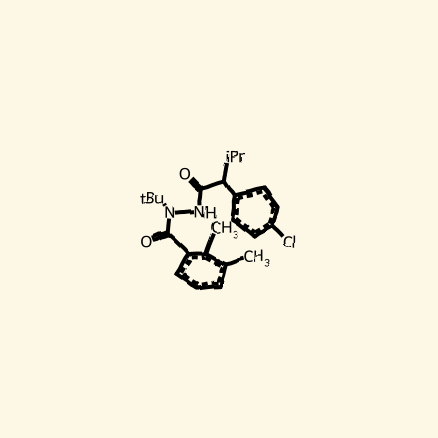 Cc1cccc(C(=O)N(NC(=O)C(c2ccc(Cl)cc2)C(C)C)C(C)(C)C)c1C